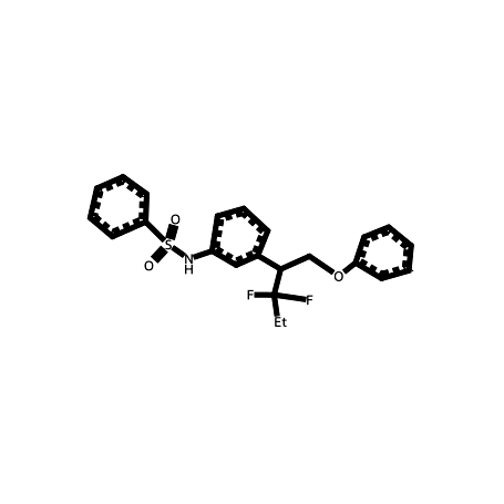 CCC(F)(F)C(COc1c[c]ccc1)c1cccc(NS(=O)(=O)c2ccccc2)c1